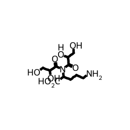 NCCCC(C(=O)O)N(C(=O)C(O)CO)C(=O)C(O)CO